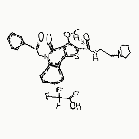 COc1c(C(=O)NCCN2CCCC2)sc2c1c(=O)n(CC(=O)c1ccccc1)c1ccccc21.O=C(O)C(F)(F)F